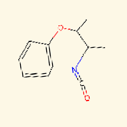 CC(N=C=O)C(C)Oc1ccccc1